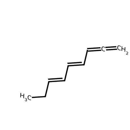 C=C=CC=CC=CCC